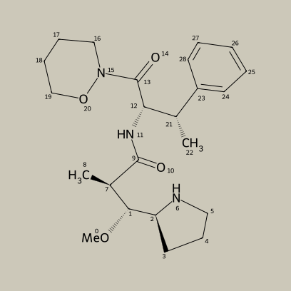 CO[C@@H]([C@@H]1CCCN1)[C@@H](C)C(=O)N[C@H](C(=O)N1CCCCO1)[C@@H](C)c1ccccc1